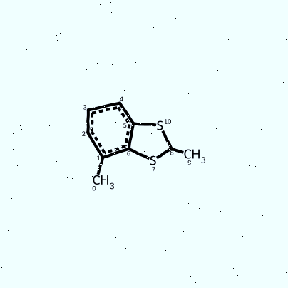 Cc1cccc2c1SC(C)S2